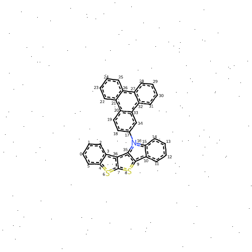 c1ccc2c(c1)sc1sc3c4ccccc4n(-c4ccc5c6ccccc6c6ccccc6c5c4)c3c12